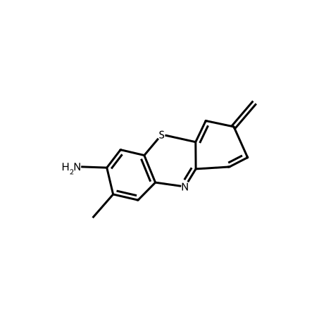 C=c1ccc2c(c1)Sc1cc(N)c(C)cc1N=2